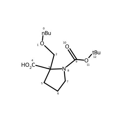 CCCCOCC1(C(=O)O)CCCN1C(=O)OC(C)(C)C